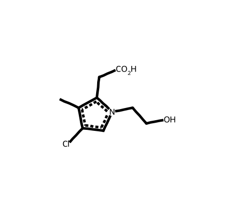 Cc1c(Cl)cn(CCO)c1CC(=O)O